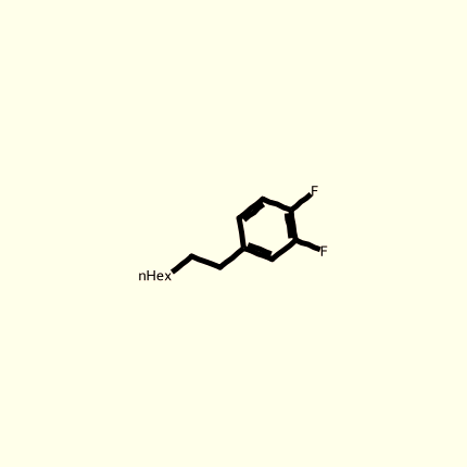 CCCCCCCCc1ccc(F)c(F)c1